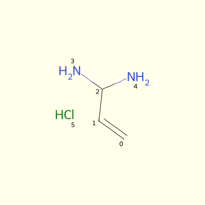 C=CC(N)N.Cl